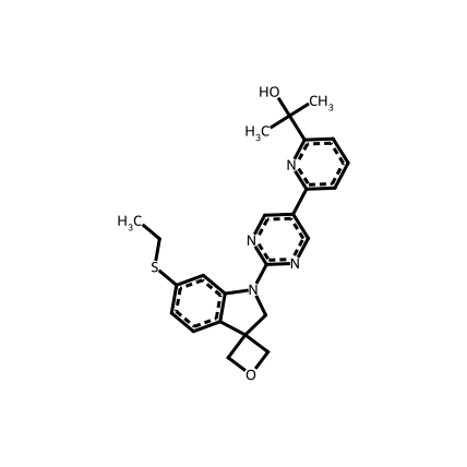 CCSc1ccc2c(c1)N(c1ncc(-c3cccc(C(C)(C)O)n3)cn1)CC21COC1